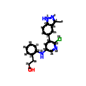 Cc1n[nH]c2ccc(-c3cc(Nc4ccccc4CCO)cnc3Cl)cc12